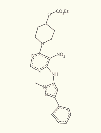 CCOC(=O)OC1CCN(c2ncnc(Nc3cc(-c4ccccc4)nn3C)c2[N+](=O)[O-])CC1